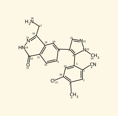 Cc1cc(C#N)c(-c2c(-c3ccc4c(=O)[nH]nc(CN)c4c3)cnn2C)cc1Cl